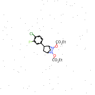 CCOC(=O)ON1C2CC(c3ccc(Cl)c(F)c3)C(C2)N1OC(=O)OCC